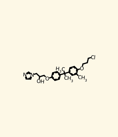 Cc1cc(C(C)(C)c2ccc(OCC(O)Cn3ccnc3)cc2)ccc1OCCCCl